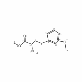 COC(=O)C(N)CCc1cccc(OC)c1